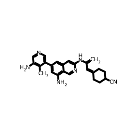 C=C(C=C1CCC(C#N)CC1)Nc1cc2cc(-c3cncc(N)c3C)cc(N)c2cn1